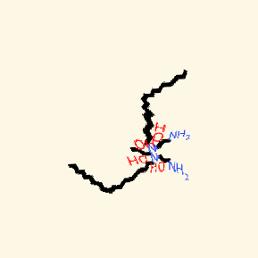 CCCCCCCC/C=C\CCCCCCCCN(CC(O)CN)C(C(O)C(C)O)N(CCCCCCCC/C=C\CCCCCCCC)CC(O)CN